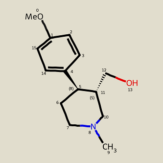 COc1ccc([C@@H]2CCN(C)C[C@H]2CO)cc1